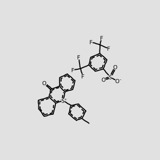 Cc1ccc(-[s+]2c3ccccc3c(=O)c3ccccc32)cc1.O=S(=O)([O-])c1cc(C(F)(F)F)cc(C(F)(F)F)c1